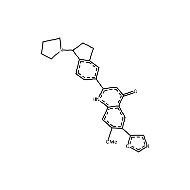 COc1cc2[nH]c(-c3ccc4c(c3)CCC4N3CCCC3)cc(=O)c2cc1-c1cnco1